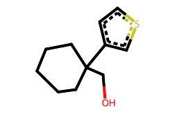 OCC1(c2ccsc2)CCCCC1